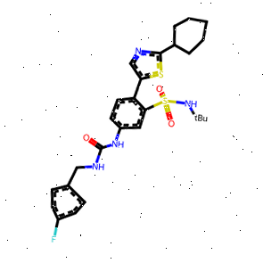 CC(C)(C)NS(=O)(=O)c1cc(NC(=O)NCc2ccc(F)cc2)ccc1-c1cnc(C2CCCCC2)s1